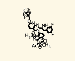 CC(=O)N(c1nn(C)c2c(-n3c([C@@H](N)Cc4cc(F)cc(F)c4)nc4nc(OCC(F)(F)C(F)(F)C(F)(F)F)ccc4c3=O)ccc(Cl)c12)S(C)(=O)=O